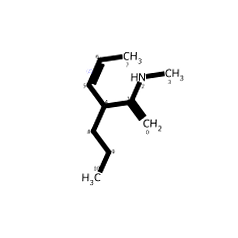 C=C(NC)C(/C=C\C)CCC